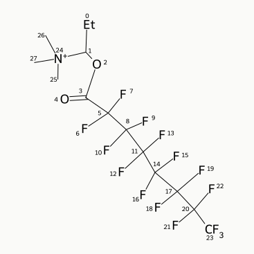 CCC(OC(=O)C(F)(F)C(F)(F)C(F)(F)C(F)(F)C(F)(F)C(F)(F)C(F)(F)F)[N+](C)(C)C